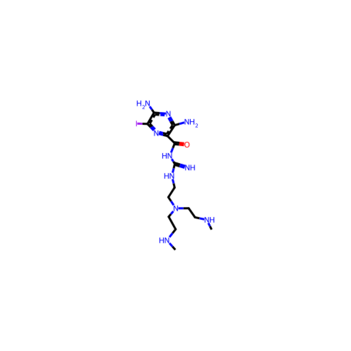 CNCCN(CCNC)CCNC(=N)NC(=O)c1nc(I)c(N)nc1N